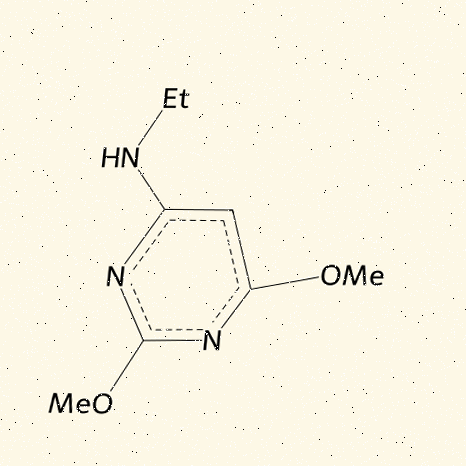 CCNc1cc(OC)nc(OC)n1